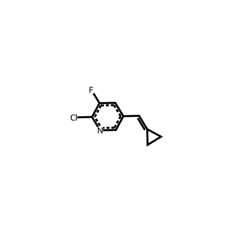 Fc1cc(C=C2CC2)cnc1Cl